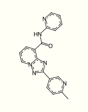 Cc1ccc(-c2nc3c(C(=O)Nc4ccccn4)cccn3n2)cn1